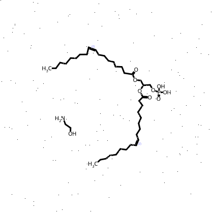 CCCCCCCC/C=C\CCCCCCCC(=O)OCC(COP(=O)(O)O)OC(=O)CCCCCCC/C=C\CCCCCCCC.NCCO